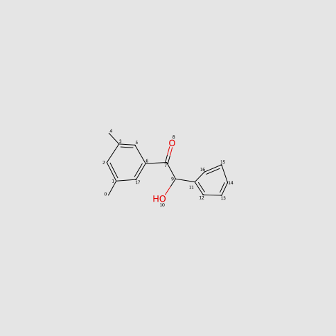 Cc1cc(C)cc(C(=O)C(O)c2ccccc2)c1